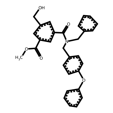 COC(=O)c1cc(CO)cc(C(=O)N(Cc2ccccc2)Cc2ccc(Oc3ccccc3)cc2)c1